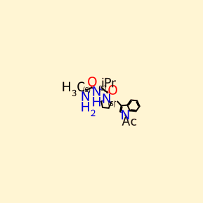 CC(=O)n1cc(C[C@@H]2CCCN2C(=O)[C@@H](NC(=O)[C@H](C)N)C(C)C)c2ccccc21